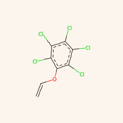 C=COc1c(Cl)c(Cl)c(Cl)c(Cl)c1Cl